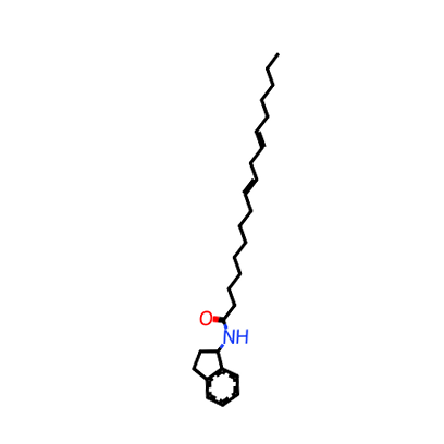 CCCCCC=CCC=CCCCCCCCC(=O)NC1CCc2ccccc21